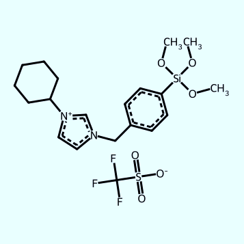 CO[Si](OC)(OC)c1ccc(Cn2cc[n+](C3CCCCC3)c2)cc1.O=S(=O)([O-])C(F)(F)F